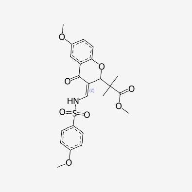 COC(=O)C(C)(C)C1Oc2ccc(OC)cc2C(=O)/C1=C\NS(=O)(=O)c1ccc(OC)cc1